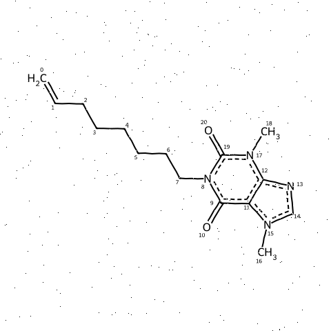 C=CCCCCCCn1c(=O)c2c(ncn2C)n(C)c1=O